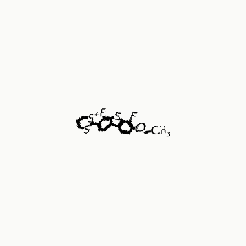 CCOc1ccc2c(sc3c(F)c(C4=[S+]CCCS4)ccc32)c1F